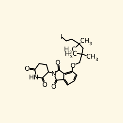 CC(C)(CCI)CC(C)(C)COc1cccc2c1C(=O)N(C1CCC(=O)NC1=O)C2=O